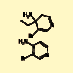 CCC1(N)CC=NC=C1Br.Nc1ccncc1Br